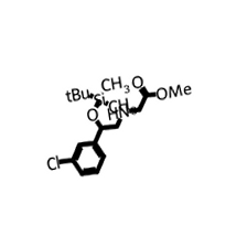 COC(=O)CNCC(O[Si](C)(C)C(C)(C)C)c1cccc(Cl)c1